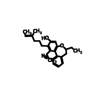 C/C=C(\C)CCCc1c(O)cc2c(c1CC)-c1c(C#N)cccc1CC(CC)O2